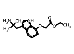 CCOC(=O)COc1cccc2c(CC(C)(C)N)c[nH]c12